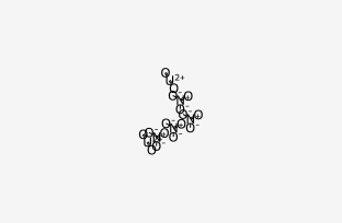 O=[N+]([O-])[O-].O=[N+]([O-])[O-].O=[N+]([O-])[O-].O=[N+]([O-])[O-].[O]=[U+2]=[O].[O]=[U+2]=[O]